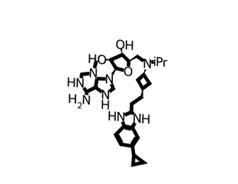 CC(C)N(C[C@H]1O[C@@H](N2CNC3C(N)NCN(C)C32)[C@H](O)[C@@H]1O)[C@H]1C[C@H](CCC2Nc3ccc(C4CC4)cc3N2)C1